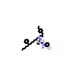 CCCCCC(CCCCCCN(CC(C)Cc1ccc(CC)cc1)N=C1SCCN1C(=S)Nc1cccc(Cl)c1)c1ccccc1